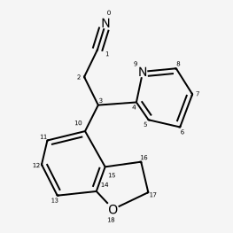 N#CCC(c1ccccn1)c1cccc2c1CCO2